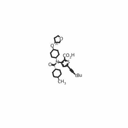 CC(C)(C)C#Cc1cc(N(C(=O)[C@H]2CC[C@H](C)CC2)[C@H]2CC[C@H](O[C@@H]3CCOC3)CC2)c(C(=O)O)s1